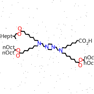 CCCCCCCCC(CCCCCCCC)OC(=O)CCCCCCCN(CCCCCCCC(=O)O)CCN1CCN(CCN(CCCCCCCC(=O)OCC(C)CCCCCCC)CCCCCCCC(=O)OC(CCCCCCCC)CCCCCCCC)CC1